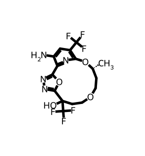 C[C@@H]1CCOCCC(O)(C(F)(F)F)c2nnc(o2)-c2nc(c(C(F)(F)F)cc2N)O1